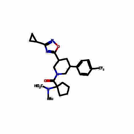 CCCCN(C(=O)O)C1(C(=O)N2CC(c3ccc(C(F)(F)F)cc3)CC(c3nc(C4CC4)no3)C2)CCCC1